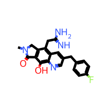 CN1Cc2c(c(O)c3ncc(Cc4ccc(F)cc4)cc3c2CC(=N)N)C1=O